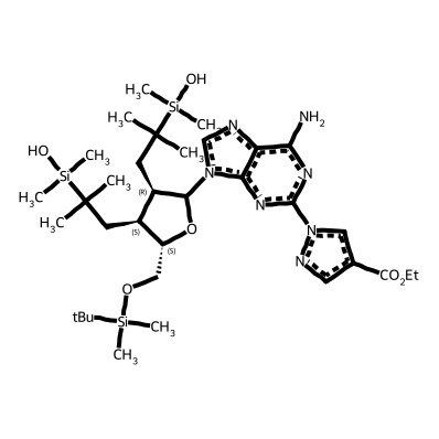 CCOC(=O)c1cnn(-c2nc(N)c3ncn(C4O[C@H](CO[Si](C)(C)C(C)(C)C)[C@@H](CC(C)(C)[Si](C)(C)O)[C@H]4CC(C)(C)[Si](C)(C)O)c3n2)c1